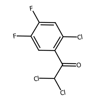 O=C(c1cc(F)c(F)cc1Cl)C(Cl)Cl